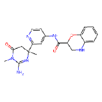 CN1C(=O)CC(C)(c2cc(NC(=O)C3CNc4ccccc4O3)ccn2)N=C1N